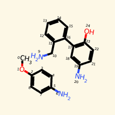 COc1ccc(N)cc1.NCc1ccccc1-c1cc(N)ccc1O